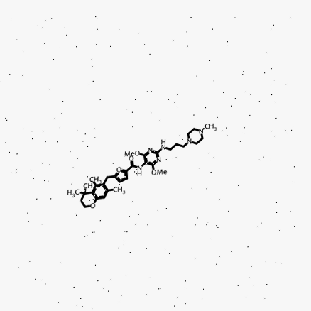 COc1nc(NCCCN2CCN(C)CC2)nc(OC)c1NC(=O)c1ccc(Cc2c(C)cc3c(c2C)C(C)(C)CCO3)o1